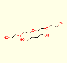 OCCCCO.OCCOCCOCCOCCO